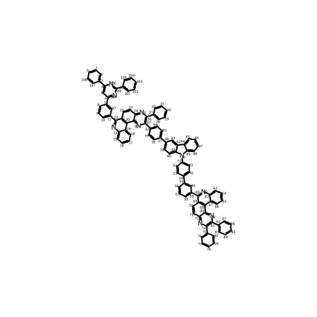 c1ccc(-c2cc(-c3cccc(-c4nc5ccccc5c5c4ccc4nc(-c6ccccc6)c(-c6ccc(-c7ccc8c(c7)c7ccccc7n8-c7ccc(-c8cccc(-c9nc%10ccccc%10c%10c9ccc9nc(-c%11ccccc%11)c(-c%11ccccc%11)nc9%10)c8)cc7)cc6)nc45)c3)nc(-c3ccccc3)n2)cc1